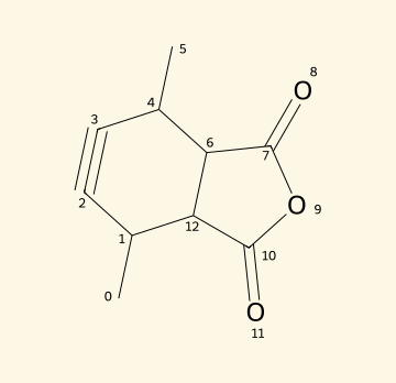 CC1C#CC(C)C2C(=O)OC(=O)C12